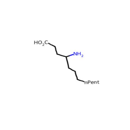 CCCCCCCCC(N)CCC(=O)O